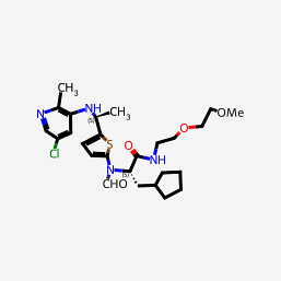 COCCOCCNC(=O)[C@H](CC1CCCC1)N(C=O)c1ccc([C@H](C)Nc2cc(Cl)cnc2C)s1